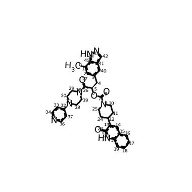 Cc1cc(C[C@@H](OC(=O)N2CCC(c3cc4ccccc4[nH]c3=O)CC2)C(=O)N2CCN(c3ccncc3)CC2)cc2cn[nH]c12